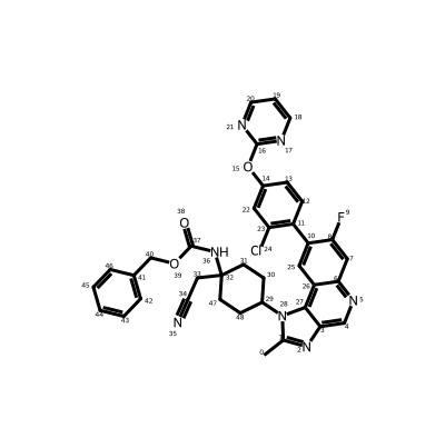 Cc1nc2cnc3cc(F)c(-c4ccc(Oc5ncccn5)cc4Cl)cc3c2n1C1CCC(CC#N)(NC(=O)OCc2ccccc2)CC1